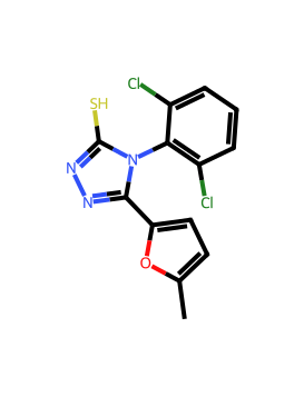 Cc1ccc(-c2nnc(S)n2-c2c(Cl)cccc2Cl)o1